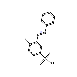 O=S(=O)(O)c1ccc(O)c(/N=N/c2ccccc2)c1